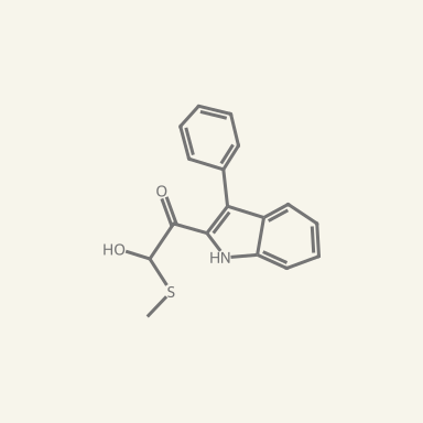 CSC(O)C(=O)c1[nH]c2ccccc2c1-c1ccccc1